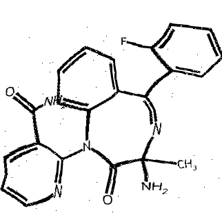 CC1(N)N=C(c2ccccc2F)c2ccccc2N(c2ncccc2C(N)=O)C1=O